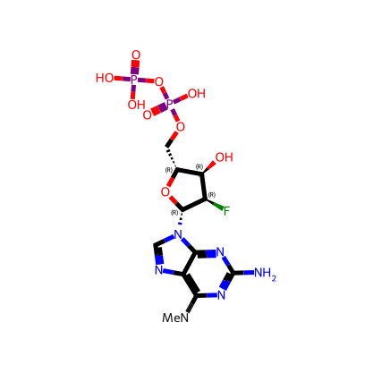 CNc1nc(N)nc2c1ncn2[C@@H]1O[C@H](COP(=O)(O)OP(=O)(O)O)[C@@H](O)[C@H]1F